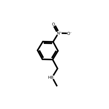 CBCc1cccc([N+](=O)[O-])c1